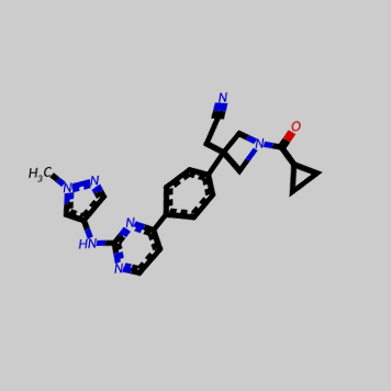 Cn1cc(Nc2nccc(-c3ccc(C4(CC#N)CN(C(=O)C5CC5)C4)cc3)n2)cn1